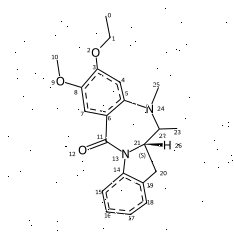 CCOc1cc2c(cc1OC)C(=O)N1c3ccccc3C[C@H]1C(C)N2C